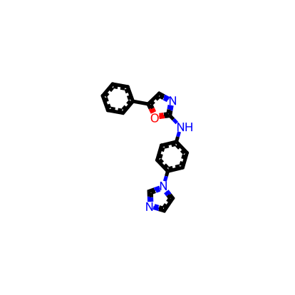 c1ccc(-c2cnc(Nc3ccc(-n4ccnc4)cc3)o2)cc1